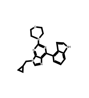 c1cc(-c2nc(N3CCOCC3)nc3c2ncn3CC2CC2)c2cc[nH]c2c1